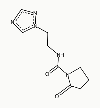 O=C1CCCN1C(=O)NCCn1cncn1